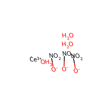 O.O.O.O=[N+]([O-])[O-].O=[N+]([O-])[O-].O=[N+]([O-])[O-].[Ce+3]